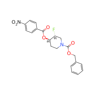 O=C(O[C@@H]1CCN(C(=O)OCc2ccccc2)C[C@H]1F)c1ccc([N+](=O)[O-])cc1